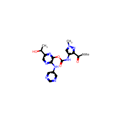 CNC(=O)c1nn(C)cc1NC(=O)Oc1nc(C(C)O)cnc1Nc1cncnc1